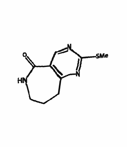 CSc1ncc2c(n1)CCCNC2=O